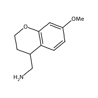 COc1ccc2c(c1)OCCC2CN